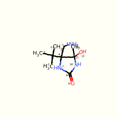 CC(C)(C)C1(CN)NC(=O)NC1(C)O